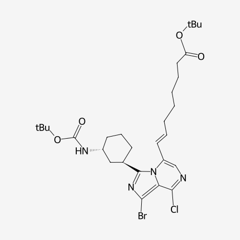 CC(C)(C)OC(=O)CCCCC/C=C/c1cnc(Cl)c2c(Br)nc([C@@H]3CCC[C@@H](NC(=O)OC(C)(C)C)C3)n12